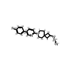 [N-]=[N+]=NC1CC2(CCN(c3ccc(-c4ccc(F)cc4)cn3)CC2)C1